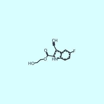 C#Cc1c(C(=O)OCCO)[nH]c2ccc(F)cc12